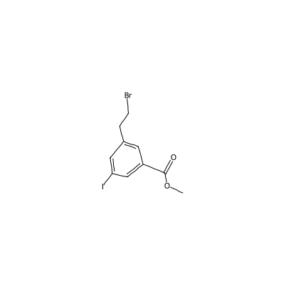 COC(=O)c1cc(I)cc(CCBr)c1